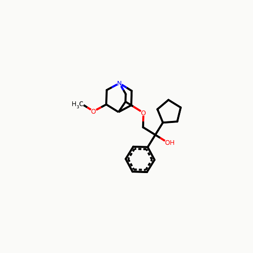 COC1CN2CCC1C(OCC(O)(c1ccccc1)C1CCCC1)C2